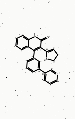 O=c1[nH]c2ccccc2c(-c2cccc(-c3cccnc3)c2)c1C1=CCCS1